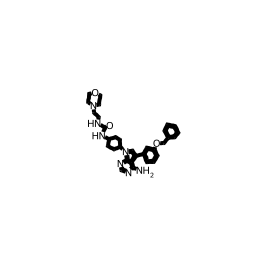 Nc1ncnc2c1c(-c1cccc(OCc3ccccc3)c1)cn2C1CCC(NC(=O)NCCN2CCOCC2)CC1